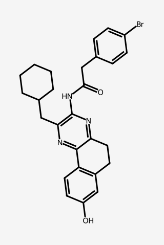 O=C(Cc1ccc(Br)cc1)Nc1nc2c(nc1CC1CCCCC1)-c1ccc(O)cc1CC2